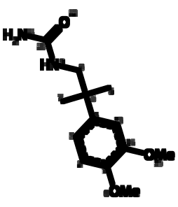 COc1ccc(C(C)(C)CNC(N)=O)cc1OC